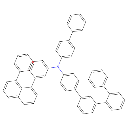 c1ccc(-c2ccc(N(c3ccc(-c4cccc(-c5ccccc5-c5ccccc5)c4)cc3)c3cccc(-c4cccc5cccc(-c6ccccc6)c45)c3)cc2)cc1